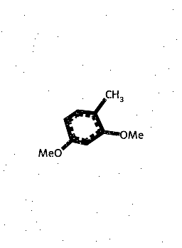 COc1ccc(C)c(OC)c1